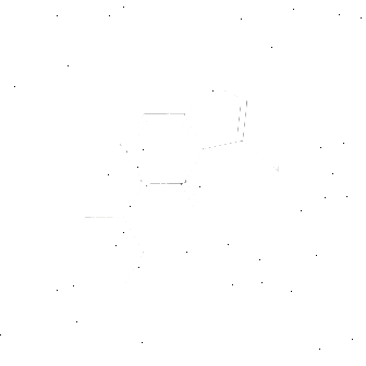 CCC(C)n1ncc2scc(Br)c2c1=O